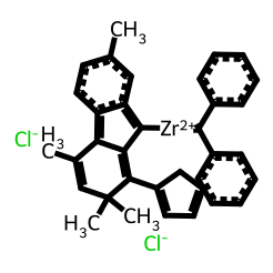 CC1=CC(C)(C)C(C2=CC=CC2)=C2[C]([Zr+2]=[C](c3ccccc3)c3ccccc3)=c3cc(C)ccc3=C12.[Cl-].[Cl-]